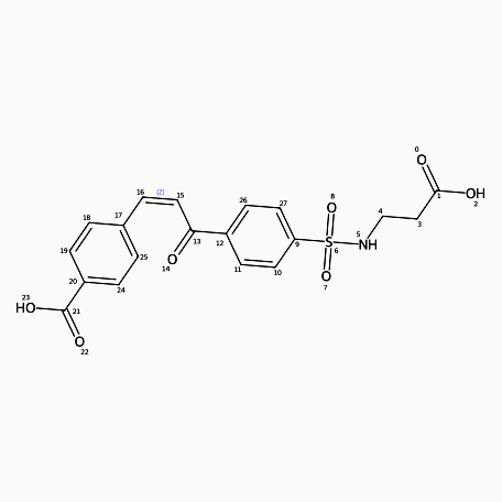 O=C(O)CCNS(=O)(=O)c1ccc(C(=O)/C=C\c2ccc(C(=O)O)cc2)cc1